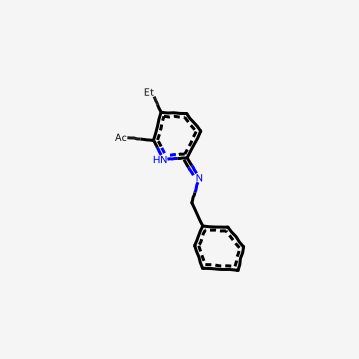 CCc1ccc(=NCc2ccccc2)[nH]c1C(C)=O